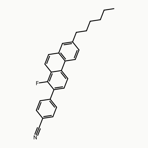 CCCCCCc1ccc2c(ccc3c(F)c(-c4ccc(C#N)cc4)ccc32)c1